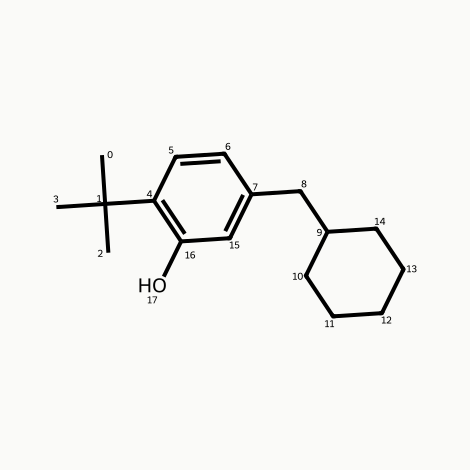 CC(C)(C)c1ccc(CC2CCCCC2)cc1O